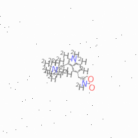 [2H]c1c(C[C@H]2COC(=O)N2[2H])c([2H])c2c(C([2H])([2H])C([2H])([2H])N(C([2H])([2H])[2H])C([2H])([2H])[2H])c([2H])n([2H])c2c1[2H]